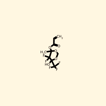 C=CC(=O)OC1(C)OCOC(O)(C(F)(F)F)C1(F)F